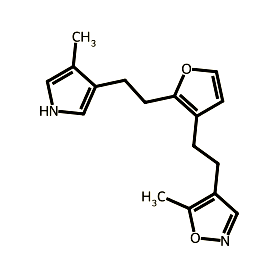 Cc1c[nH]cc1CCc1occc1CCc1cnoc1C